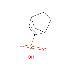 O=S(=O)(O)C1=CC2CCC1C2